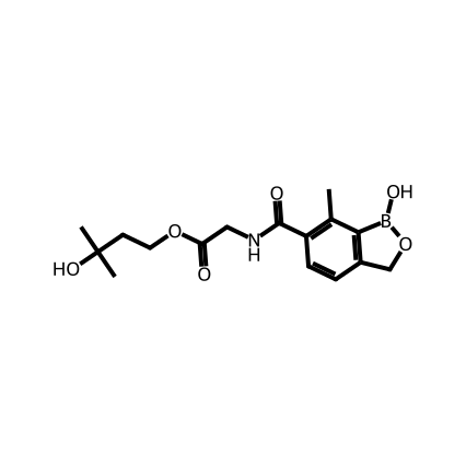 Cc1c(C(=O)NCC(=O)OCCC(C)(C)O)ccc2c1B(O)OC2